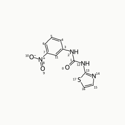 O=C(Nc1cccc([N+](=O)[O-])c1)Nc1nccs1